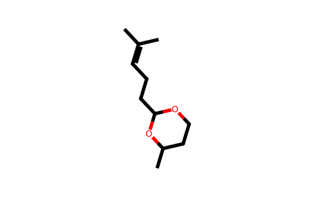 CC(C)=CCCC1OCCC(C)O1